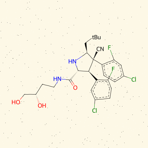 CC(C)(C)C[C@@H]1N[C@@H](C(=O)NCC[C@H](O)CO)[C@H](c2cc(Cl)ccc2F)[C@@]1(C#N)c1ccc(Cl)cc1F